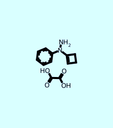 NN(C1=CCC1)c1ccccc1.O=C(O)C(=O)O